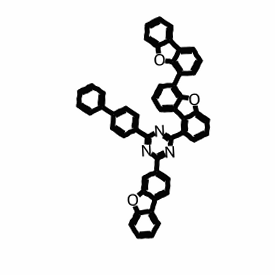 c1ccc(-c2ccc(-c3nc(-c4ccc5c(c4)oc4ccccc45)nc(-c4cccc5oc6c(-c7cccc8c7oc7ccccc78)cccc6c45)n3)cc2)cc1